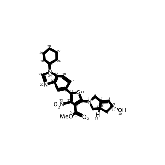 COC(=O)c1c(N2CC3=C[C@H](O)C[C@@H]3C2)sc(-c2ccc3c(c2)ncn3C2CCCCC2)c1[N+](=O)[O-]